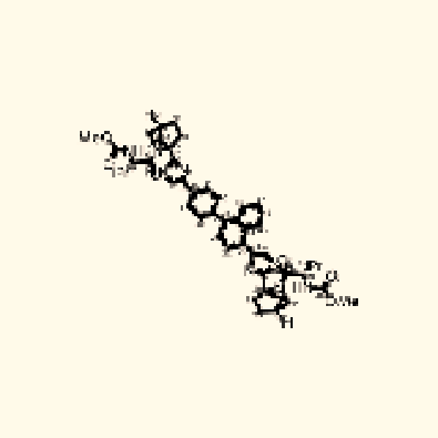 COC(=O)N[C@H](C(=O)N1C[C@@H]2CC[C@@]1(c1nc(-c3ccc(-c4ccc(-c5c[nH]c([C@@]67CC[C@@H](CN6C(=O)[C@@H](NC(=O)OC)C(C)C)C7)n5)c5ccccc45)cc3)c[nH]1)C2)C(C)C